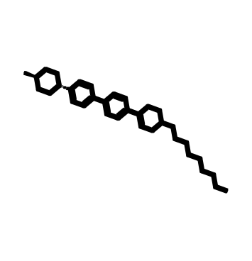 CCCCCCCCCC1CC=C(c2ccc(-c3ccc([C@H]4CC[C@H](C)CC4)cc3)cc2)CC1